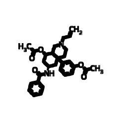 C=CCN1CCC2(c3cccc(OC(C)=O)c3)C[C@H](NC(=O)c3ccccc3)CC(OC(C)=O)C2C1